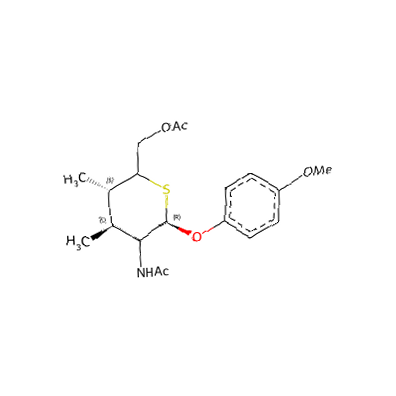 COc1ccc(O[C@@H]2SC(COC(C)=O)[C@@H](C)[C@H](C)C2NC(C)=O)cc1